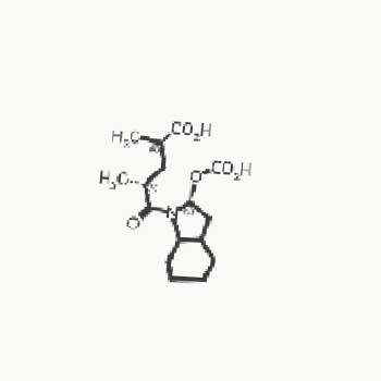 C[C@H](C[C@@H](C)C(=O)N1C2CCCCC2C[C@@H]1OC(=O)O)C(=O)O